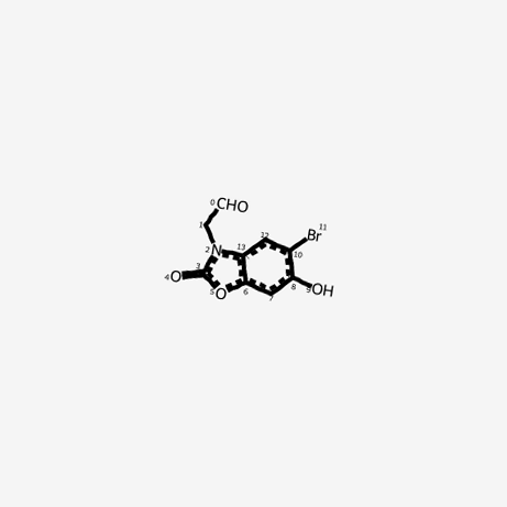 O=CCn1c(=O)oc2cc(O)c(Br)cc21